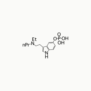 CCCN(CC)CCc1c[nH]c2ccc(OP(=O)(O)O)cc12